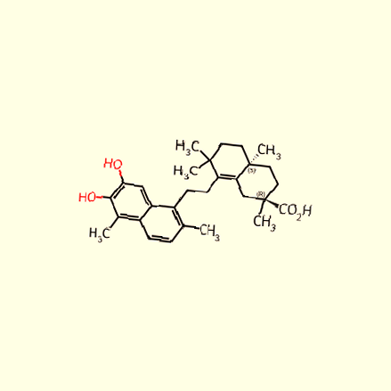 Cc1ccc2c(C)c(O)c(O)cc2c1CCC1=C2C[C@](C)(C(=O)O)CC[C@]2(C)CCC1(C)C